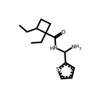 CCC1CCC1(CC)C(=O)NC(N)c1cccs1